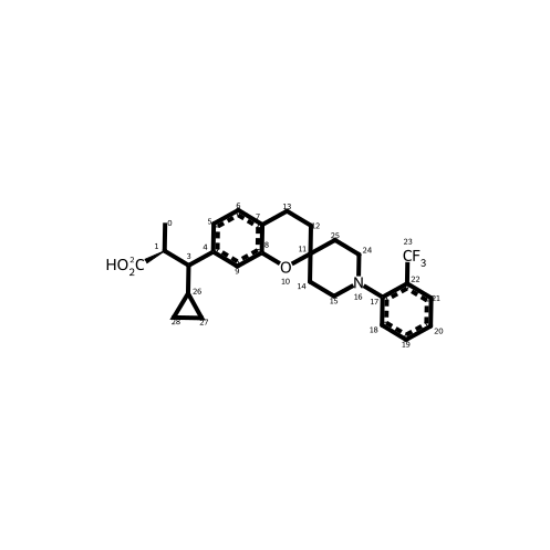 C[C@H](C(=O)O)C(c1ccc2c(c1)OC1(CC2)CCN(c2ccccc2C(F)(F)F)CC1)C1CC1